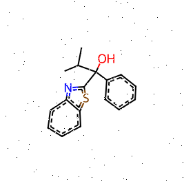 CC(C)C(O)(c1ccccc1)c1nc2ccccc2s1